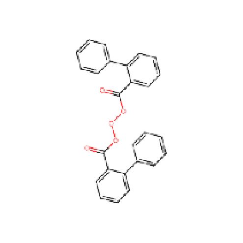 O=C(OOOC(=O)c1ccccc1-c1ccccc1)c1ccccc1-c1ccccc1